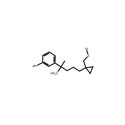 CCCc1cccc(C(C)(CCCC2(CSCC)CC2)C(=O)O)c1